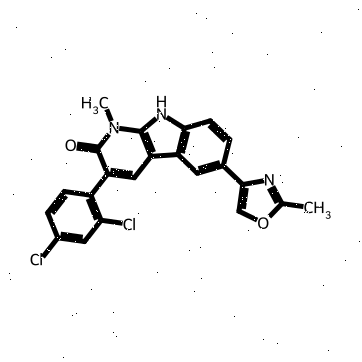 Cc1nc(-c2ccc3[nH]c4c(cc(-c5ccc(Cl)cc5Cl)c(=O)n4C)c3c2)co1